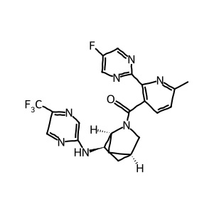 Cc1ccc(C(=O)N2C[C@H]3C[C@@H](Nc4cnc(C(F)(F)F)cn4)[C@@H]2C3)c(-c2ncc(F)cn2)n1